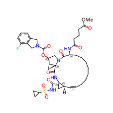 COC(=O)CCCC(=O)N[C@H]1CCCCCCC/C=C\[C@@H]2C[C@@]2(C(=O)NS(=O)(=O)C2CC2)NC(=O)[C@@H]2C[C@@H](OC(=O)N3Cc4cccc(F)c4C3)CN2C1=O